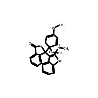 CNC1=CCC(NC)(C2(c3c(NC)[nH]c4ccccc34)OC(=O)c3ccccc32)C=C1